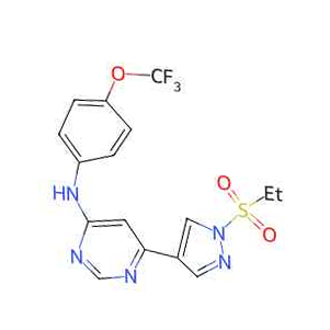 CCS(=O)(=O)n1cc(-c2cc(Nc3ccc(OC(F)(F)F)cc3)ncn2)cn1